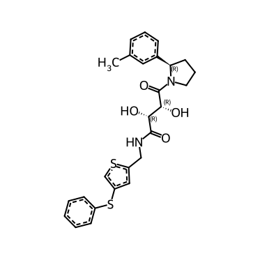 Cc1cccc([C@H]2CCCN2C(=O)[C@H](O)[C@@H](O)C(=O)NCc2cc(Sc3ccccc3)cs2)c1